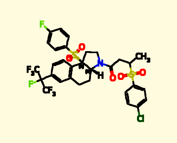 CC(CC(=O)N1CC[C@@]2(S(=O)(=O)c3ccc(F)cc3)c3ccc(C(F)(C(F)(F)F)C(F)(F)F)cc3CC[C@@H]12)S(=O)(=O)c1ccc(Cl)cc1